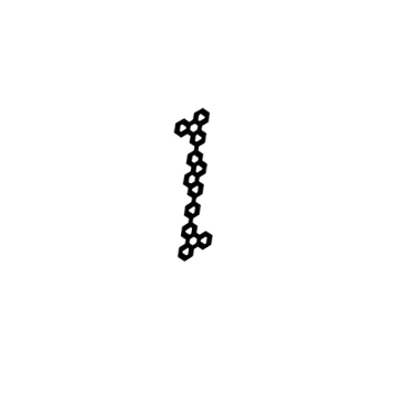 c1ccc2c(c1)c1ccccc1c1cc(-c3ccc(-c4ccc5c(ccc6c7ccc(-c8ccc9c%10ccccc%10c%10ccccc%10c9c8)cc7ccc56)c4)cc3)ccc21